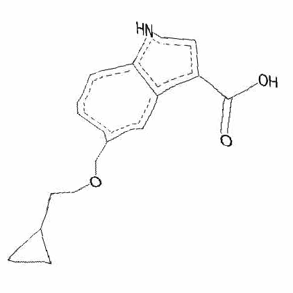 O=C(O)c1c[nH]c2ccc(OCC3CC3)cc12